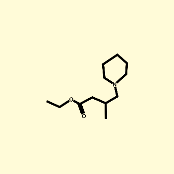 CCOC(=O)CC(C)CN1CCCCC1